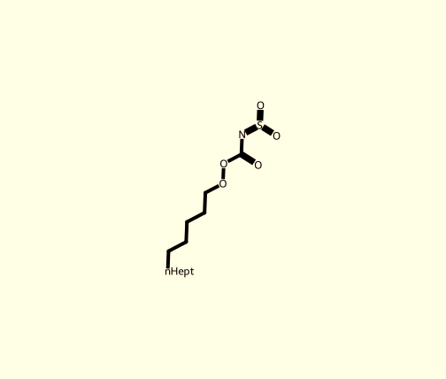 CCCCCCCCCCCCOOC(=O)N=S(=O)=O